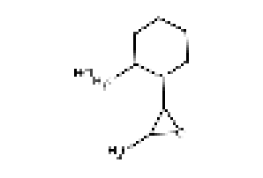 CC1OC1N1CCCCC1C.Cl